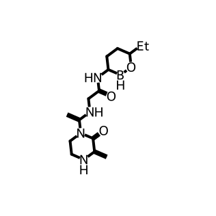 C=C1NCCN(C(=C)NCC(=O)NC2BOC(CC)CC2)C1=O